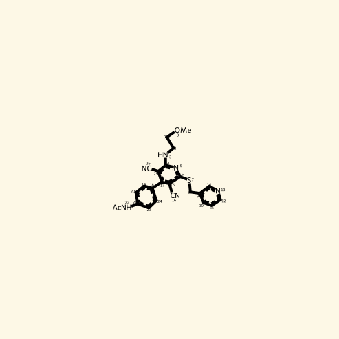 COCCNc1nc(SCc2cccnc2)c(C#N)c(-c2ccc(NC(C)=O)cc2)c1C#N